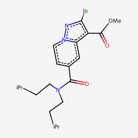 COC(=O)c1c(Br)nn2ccc(C(=O)N(CCC(C)C)CCC(C)C)cc12